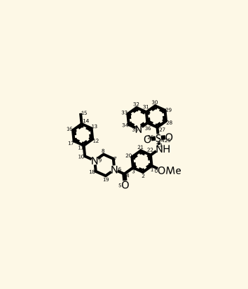 COc1cc(C(=O)N2CCN(Cc3ccc(C)cc3)CC2)ccc1NS(=O)(=O)c1cccc2cccnc12